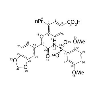 CCCc1cc(C(=O)O)ccc1OC(C(=O)NS(=O)(=O)c1cc(OC)ccc1OC)c1ccc2c(c1)OCO2